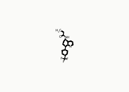 C=CC(=O)Nc1ccc(-c2ccc(C(F)(F)F)cc2)c2ncccc12